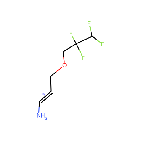 N/C=C/COCC(F)(F)C(F)F